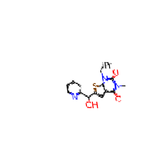 CC(C)Cn1c(=O)n(C)c(=O)c2cc(C(O)c3ccccn3)sc21